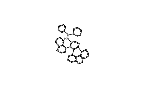 c1ccc(-c2ccc(NN(c3ccccc3)c3ccccc3)c(-c3cccc4ccccc34)c2-c2cccc3ccccc23)cc1